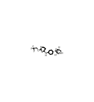 FC(F)(F)COc1nccc(Nc2ccc([C@@H]3O[C@H]4CN[C@@H]3C4)cc2)n1